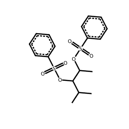 CC(C)C(OS(=O)(=O)c1ccccc1)C(C)OS(=O)(=O)c1ccccc1